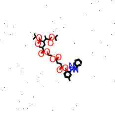 Cc1ccc(OC(=O)CCC(=O)OCCOC(=O)C(C)CC(C(=O)OC(C)C)C(C)C(=O)OC(C)C)c(-n2nc3ccccc3n2)c1